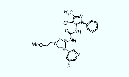 COCCN1C[C@@H](NC(=O)Nc2c(Cl)c(C)nn2-c2ccccc2)[C@H](c2cncc(F)c2)C1